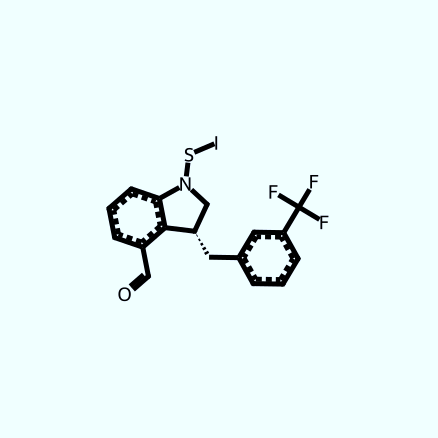 O=Cc1cccc2c1[C@@H](Cc1cccc(C(F)(F)F)c1)CN2SI